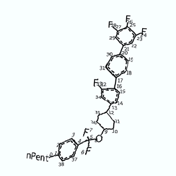 CCCCCc1ccc(C(F)(F)OC2CCC(c3ccc(-c4ccc(-c5cc(F)c(F)c(F)c5)cc4)c(F)c3)CC2)cc1